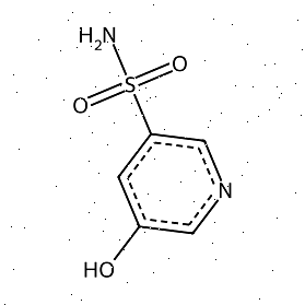 NS(=O)(=O)c1cncc(O)c1